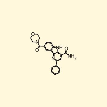 NC(=O)c1cc(-c2ccccc2)nc2c1[nH]c1ccc(C(=O)N3CCOCC3)cc12